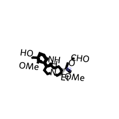 CC[C@@H]1CN2CCc3c([nH]c4ccc(CO)c(OC)c34)[C@@H]2C[C@@H]1/C(=C\OC)COC=O